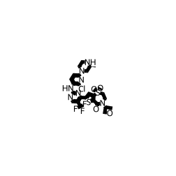 C[C@@H]1CN(c2ccc(Nc3ncc(C(F)(F)F)c(-c4cc5c(s4)C(=O)N(C4COC4)CCS5(=O)=O)n3)c(Cl)n2)CCN1